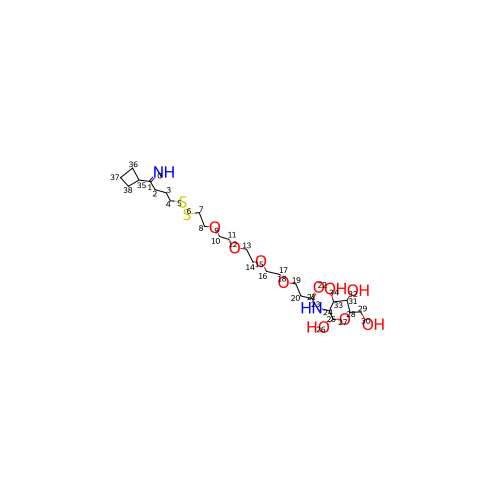 N=C(CCCSSCCOCCOCCOCCOCCC(=O)NC1C(O)OC(CO)C(O)C1O)C1CCC1